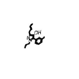 CCCCc1nn(CCC)c(-c2cccc(C)c2)c1O